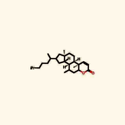 CC(C)CCCC(C)C1C[C@H]2[C@@H]3C(C)CC4OC(=O)C=C[C@]4(C)[C@@H]3CC[C@]2(C)C1